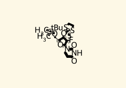 CC(C)(C)[Si](C)(C)OC[C@H]1O[C@@H](n2ccc(=O)[nH]c2=O)[C@H](F)[C@@H]1OP1(=S)SCCS1